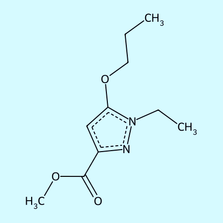 CCCOc1cc(C(=O)OC)nn1CC